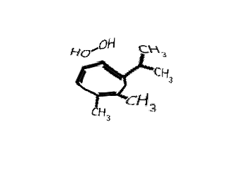 Cc1cccc(C(C)C)c1C.OO